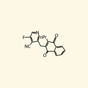 CCCC1=C(Cc2cncc(F)c2C#N)C(=O)c2ccccc2C1=O